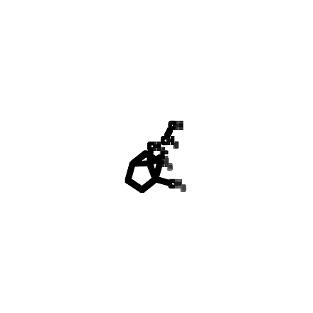 CC12CCC(CC1)C2(C)C.CO